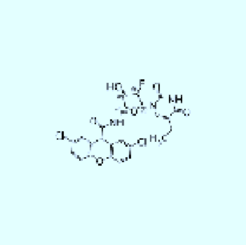 CCc1cn([C@@H]2O[C@H](CNC(=O)C3c4cc(Cl)ccc4Oc4ccc(Cl)cc43)[C@@H](O)[C@H]2F)c(=O)[nH]c1=O